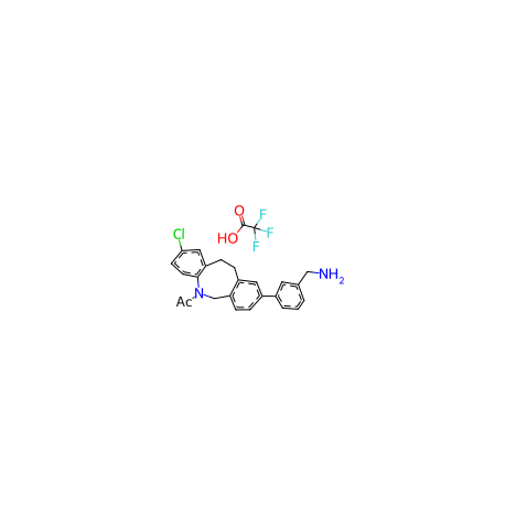 CC(=O)N1Cc2ccc(-c3cccc(CN)c3)cc2CCc2cc(Cl)ccc21.O=C(O)C(F)(F)F